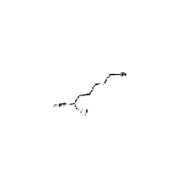 CCCCCCC(CCCCCC(C)C)C(=O)O